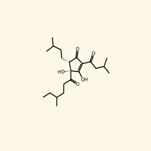 CCC(C)CCC(=O)[C@]1(O)C(O)=C(C(=O)CC(C)C)C(=O)[C@H]1CCC(C)C